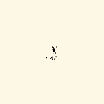 O.[AlH3].[H+].[O]=[AlH]